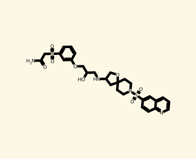 NC(=O)CS(=O)(=O)c1cccc(OCC(O)CNC2COC3(CCN(S(=O)(=O)c4ccc5ncccc5c4)CC3)C2)c1